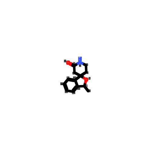 CC1OC2(CCNC(=O)C2)c2ccccc21